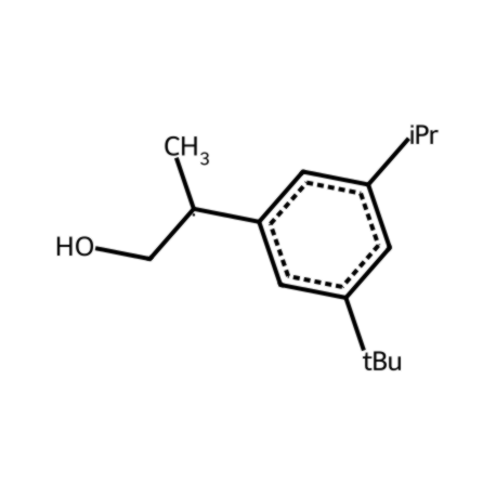 C[C](CO)c1cc(C(C)C)cc(C(C)(C)C)c1